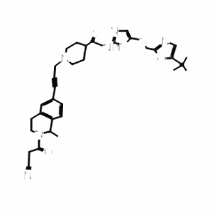 CC1c2ccc(C#CCN3CCC(C(=O)Nc4ncc(SCc5ncc(C(C)(C)C)o5)s4)CC3)cc2CCN1C(=O)CC#N